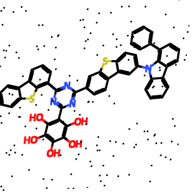 Oc1c(O)c(O)c(-c2nc(-c3ccc4c(c3)sc3ccc(-n5c6ccccc6c6cccc(-c7ccccc7)c65)cc34)nc(-c3cccc4c3sc3ccccc34)n2)c(O)c1O